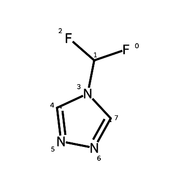 FC(F)n1[c]nn[c]1